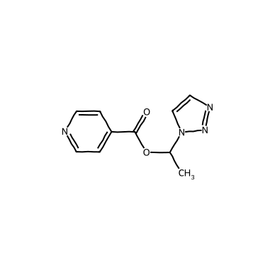 CC(OC(=O)c1ccncc1)n1ccnn1